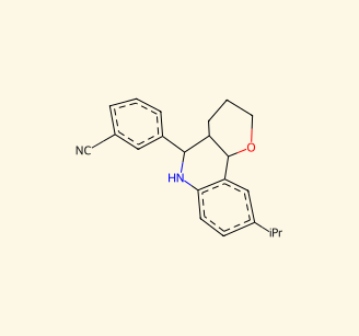 CC(C)c1ccc2c(c1)C1OCCCC1C(c1cccc(C#N)c1)N2